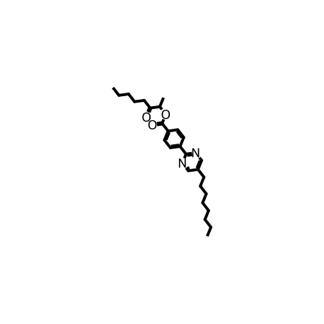 CCCCCCCCc1cnc(-c2ccc(C(=O)OC(C)C(=O)CCCCC)cc2)nc1